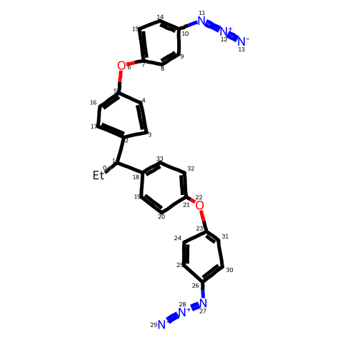 CCC(c1ccc(Oc2ccc(N=[N+]=[N-])cc2)cc1)c1ccc(Oc2ccc(N=[N+]=[N-])cc2)cc1